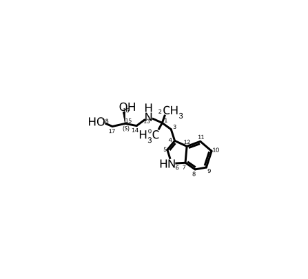 CC(C)(Cc1c[nH]c2ccccc12)NC[C@H](O)CO